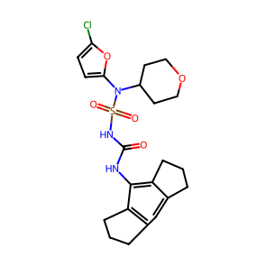 O=C(Nc1c2c(cc3c1CCC3)CCC2)NS(=O)(=O)N(c1ccc(Cl)o1)C1CCOCC1